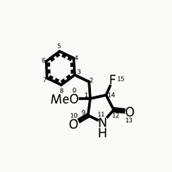 COC1(Cc2ccccc2)C(=O)NC(=O)C1F